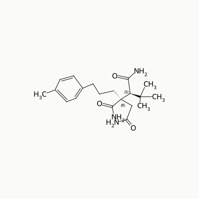 Cc1ccc(CCC[C@](CC(N)=O)(C(N)=O)[C@@H](C(N)=O)C(C)(C)C)cc1